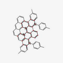 Cc1ccc(N(c2ccc(C)cc2)c2c3ccccc3c(N(c3ccc(C)cc3)c3cccc4cc5ccccc5c(N(c5ccc(C)cc5)c5c6ccccc6c(N(c6ccc(C)cc6)c6ccc(C)cc6)c6ccccc56)c34)c3ccccc23)cc1